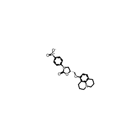 O=C1O[C@@H](COc2ccc3c4c2CCCN4CCC3)CN1c1ccc([N+](=O)[O-])cc1